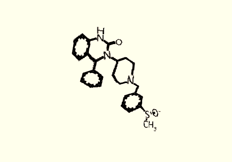 C[S+]([O-])c1cccc(CN2CCC(N3C(=O)Nc4ccccc4C3c3ccccc3)CC2)c1